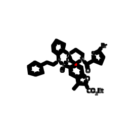 CCOC(=O)c1oc2ccc(S(=O)(=O)N(CCc3ccccc3)c3ccccc3N3CCN(C(=O)c4ccc(Br)s4)CC3)cc2c1C